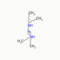 CCCCCCC(CCCCCC)CNCCCN1CCC(NC(CCCCC)CCCCC)CC1